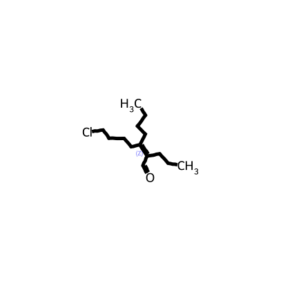 CCCC/C(CCCCCl)=C(/C=O)CCC